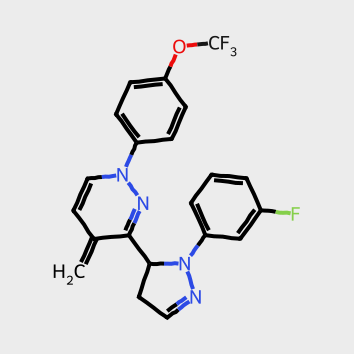 C=C1C=CN(c2ccc(OC(F)(F)F)cc2)N=C1C1CC=NN1c1cccc(F)c1